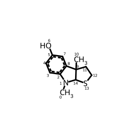 CN1c2ccc(O)cc2C2(C)CCSC12